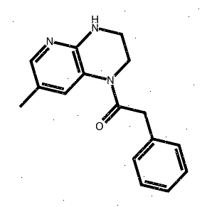 Cc1cnc2c(c1)N(C(=O)Cc1ccccc1)CCN2